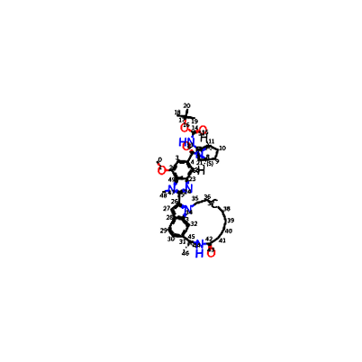 COc1cc(C(=O)N2[C@H]3CC[C@@H]2[C@H](NC(=O)OC(C)(C)C)C3)cc2nc(-c3cc4ccc5cc4n3CCCCCCCC(=O)N[C@@H]5C)n(C)c12